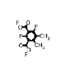 Cc1c(C)c(C(=O)OF)c(F)c(C(=O)OF)c1F